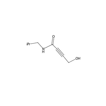 CC(C)CNC(=O)C#CCO